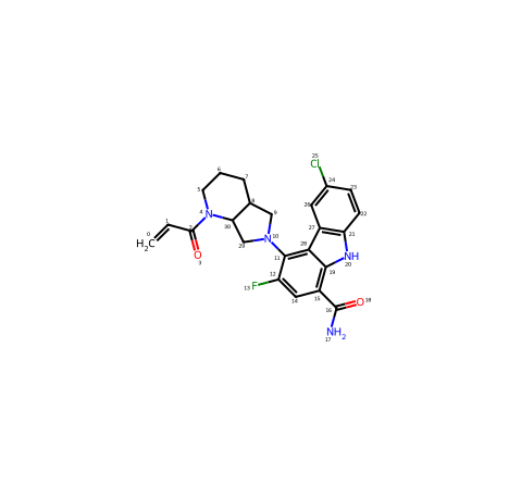 C=CC(=O)N1CCCC2CN(c3c(F)cc(C(N)=O)c4[nH]c5ccc(Cl)cc5c34)CC21